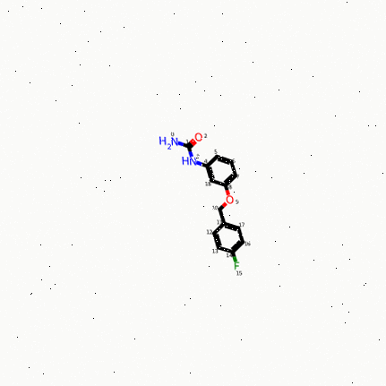 NC(=O)Nc1cccc(OCc2ccc(F)cc2)c1